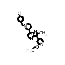 CCOc1cc(-c2c(C)nn3c(C4CCCN(Cc5ccc(Cl)cc5)C4)ccnc23)ccn1